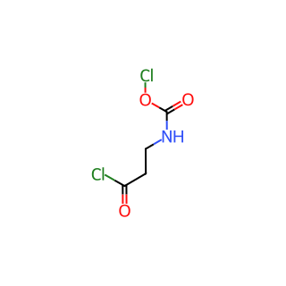 O=C(Cl)CCNC(=O)OCl